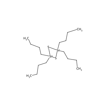 CCC[CH2][Sn]1([CH2]CCC)[S][Sn]([CH2]CCC)([CH2]CCC)[S]1